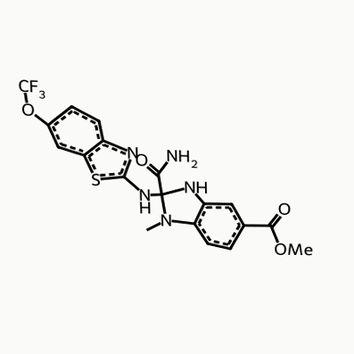 COC(=O)c1ccc2c(c1)NC(Nc1nc3ccc(OC(F)(F)F)cc3s1)(C(N)=O)N2C